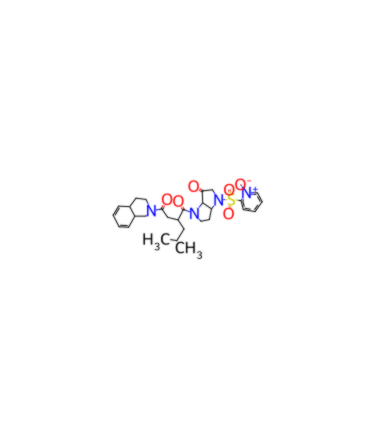 CC(C)CC(CC(=O)N1CCC2C=CC=CC2C1)C(=O)N1CCC2C1C(=O)CN2S(=O)(=O)c1cccc[n+]1[O-]